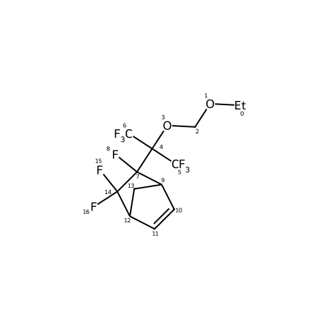 CCOCOC(C(F)(F)F)(C(F)(F)F)C1(F)C2C=CC(C2)C1(F)F